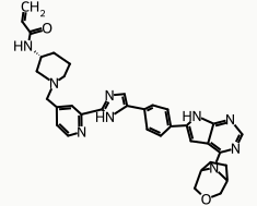 C=CC(=O)N[C@@H]1CCCN(Cc2ccnc(-c3ncc(-c4ccc(-c5cc6c(N7C8CCC7COC8)ncnc6[nH]5)cc4)[nH]3)c2)C1